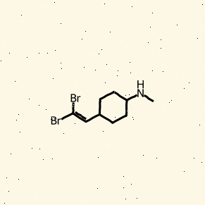 CNC1CCC(C=C(Br)Br)CC1